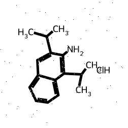 CC(C)c1cc2ccccc2c(C(C)C)c1N.Cl